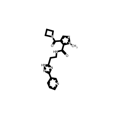 Cn1ncc(C(=O)N2CCC2)c1C(=O)NCCc1nc(-c2cccnc2)n[nH]1